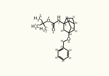 CC(C)(C)OC(=O)NC12CC3CC1CC(OCc1ccccc1)(C3)C2